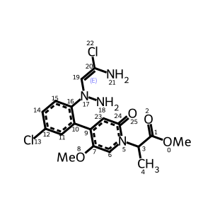 COC(=O)C(C)n1cc(OC)c(-c2cc(Cl)ccc2N(N)/C=C(\N)Cl)cc1=O